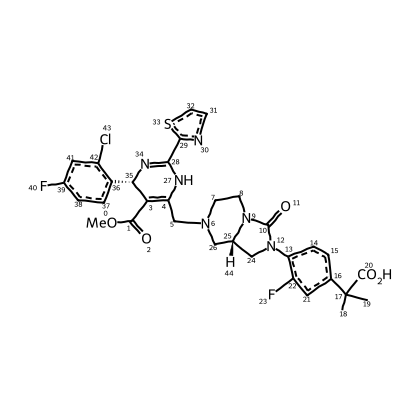 COC(=O)C1=C(CN2CCN3C(=O)N(c4ccc(C(C)(C)C(=O)O)cc4F)C[C@@H]3C2)NC(c2nccs2)=N[C@H]1c1ccc(F)cc1Cl